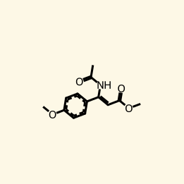 COC(=O)/C=C(\NC(C)=O)c1ccc(OC)cc1